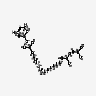 C=CC.[Li+].[Li+].[Li+].[Li+].[Li+].[Li+].[Li+].[Li+].[Li+].[Li+].[Li+].[Li+].[O-]B([O-])[O-].[O-]B([O-])[O-].[O-]B([O-])[O-].[O-]B([O-])[O-]